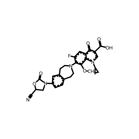 COc1c(N2CCc3ccc(N4CC(C#N)OC4=O)cc3CC2)c(F)cc2c(=O)c(C(=O)O)cn(C3CC3)c12